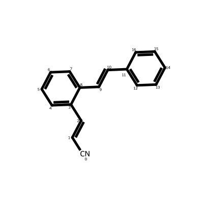 N#CC=Cc1ccccc1C=Cc1ccccc1